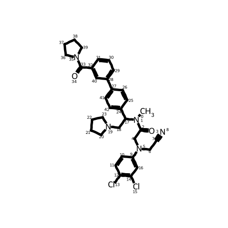 CN(C(=O)CN(CC#N)c1ccc(Cl)c(Cl)c1)C(CN1CCCC1)c1ccc(-c2cccc(C(=O)N3CCCC3)c2)cc1